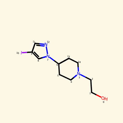 OCCN1CCC(n2cc(I)cn2)CC1